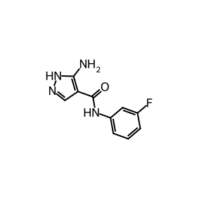 Nc1[nH]ncc1C(=O)Nc1cccc(F)c1